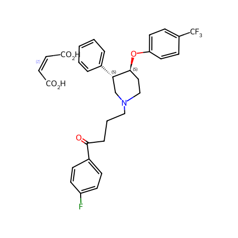 O=C(CCCN1CC[C@H](Oc2ccc(C(F)(F)F)cc2)[C@@H](c2ccccc2)C1)c1ccc(F)cc1.O=C(O)/C=C\C(=O)O